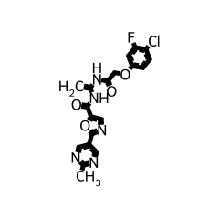 C=C(NC(=O)COc1ccc(Cl)c(F)c1)NC(=O)c1cnc(-c2cnc(C)nc2)o1